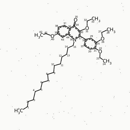 CCCCCCCCCCCCCCCCn1c(-c2ccc(OCC)c(OCC)c2)c(OCC)c(=O)c2ccc(OCC)cc21